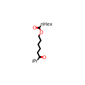 CCCCCCC(=O)OCCCCCC(=O)C(C)C